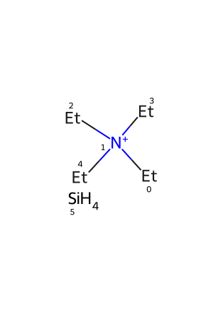 CC[N+](CC)(CC)CC.[SiH4]